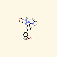 COc1ccc(-c2ccc3c(N4CCOC[C@@H]4C)nc(N(C)C4CCOC4)nc3n2)cc1CO